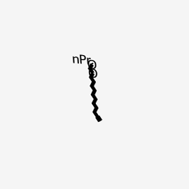 C#CCCCCCCCCCOCOCCC